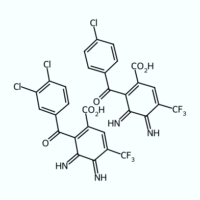 N=C1C(=N)C(C(=O)c2ccc(Cl)c(Cl)c2)=C(C(=O)O)C=C1C(F)(F)F.N=C1C(=N)C(C(=O)c2ccc(Cl)cc2)=C(C(=O)O)C=C1C(F)(F)F